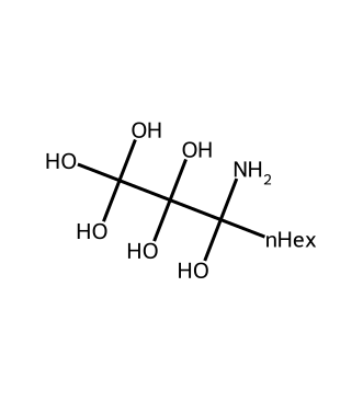 CCCCCCC(N)(O)C(O)(O)C(O)(O)O